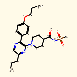 COCCOc1ccc(-c2ncc(CCC(F)(F)F)nc2N2CCC(C(=O)NS(C)(=O)=O)CC2)cc1